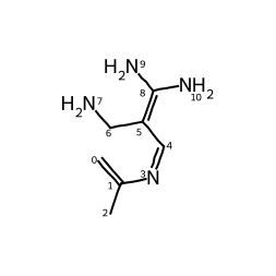 C=C(C)/N=C\C(CN)=C(N)N